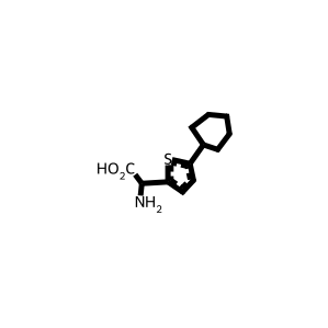 NC(C(=O)O)c1ccc(C2CCCCC2)s1